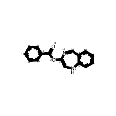 O=C(OC1=CNc2ccccc2C=N1)c1ccccc1